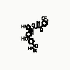 CCNC(=O)c1ccc(C2(O)CCC([C@]3(NC(=O)CNC(=O)c4cccc(C(F)(F)F)c4)CCNC3)CC2)cc1